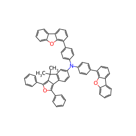 CC1(C)c2cc(N(c3ccc(-c4cccc5c4oc4ccccc45)cc3)c3ccc(-c4cccc5c4oc4ccccc45)cc3)ccc2-c2c(-c3ccccc3)oc(-c3ccccc3)c21